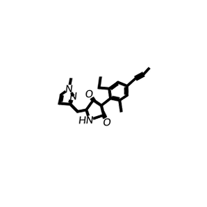 CC#Cc1cc(C)c(C2C(=O)NC(Cc3ccn(C)n3)C2=O)c(CC)c1